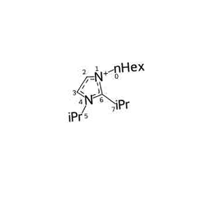 CCCCCC[n+]1ccn(C(C)C)c1C(C)C